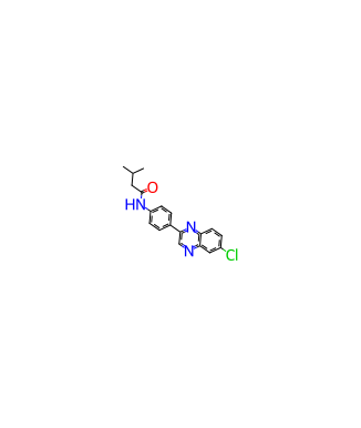 CC(C)CC(=O)Nc1ccc(-c2cnc3cc(Cl)ccc3n2)cc1